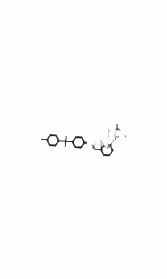 Cc1ccc(C(C)(C)c2ccc(OCc3cccc(-c4nc(C)ns4)n3)cc2)cc1